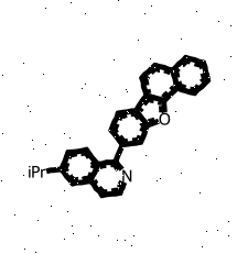 CC(C)c1ccc2c(-c3ccc4c(c3)oc3c5ccccc5ccc43)nccc2c1